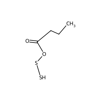 CCCC(=O)OSS